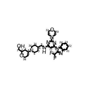 OCC1CC(N2CCC(CNc3cc(-n4c(C(F)F)nc5ccccc54)nc(N4CCOCC4)n3)CC2)CCO1